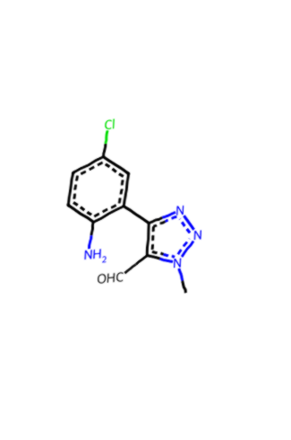 Cn1nnc(-c2cc(Cl)ccc2N)c1C=O